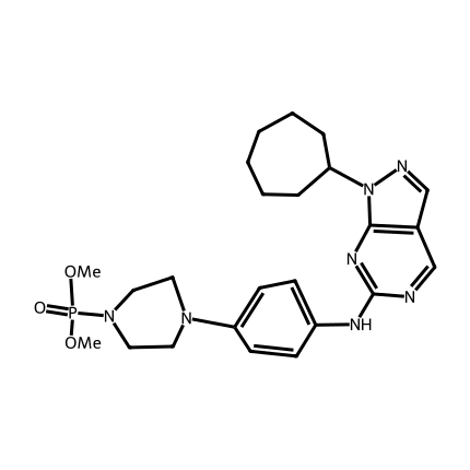 COP(=O)(OC)N1CCN(c2ccc(Nc3ncc4cnn(C5CCCCCC5)c4n3)cc2)CC1